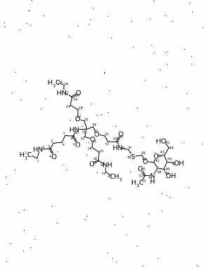 CCNC(=O)CCCC(=O)NC(COCCC(=O)NCC)(COCCC(=O)NCC)COCCC(=O)NCSCOC1OC(CO)C(O)C(O)C1NC(C)=O